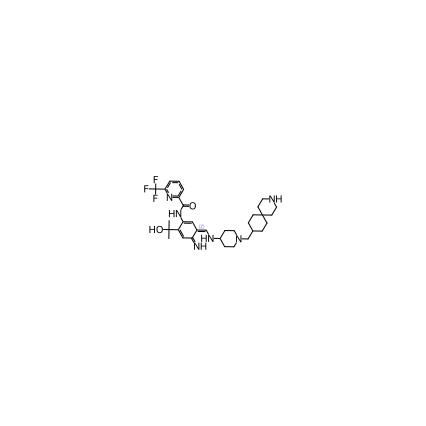 CC(C)(O)C1=CC(=N)/C(=C\NC2CCN(CC3CCC4(CCNCC4)CC3)CC2)C=C1NC(=O)c1cccc(C(F)(F)F)n1